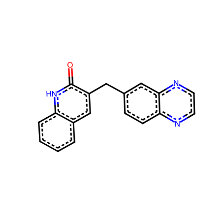 O=c1[nH]c2ccccc2cc1Cc1ccc2nccnc2c1